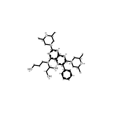 CC1CN(c2nc(N(CCCO)C(O)CO)c3nc(-c4ccccc4)c(N4CC(C)OC(C)C4)nc3n2)CC(C)O1